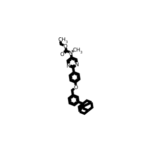 CCOC(=O)N(C)c1cnc(-c2ccc(OCc3cccc(C45CC6CC(CC(C6)C4)C5)c3)cc2)nc1